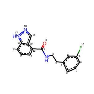 O=C(NCCc1cccc(F)c1)c1cccc2[nH]ncc12